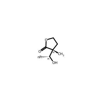 CCC[C@@H](O)[C@@]1(C)CCOC1=O